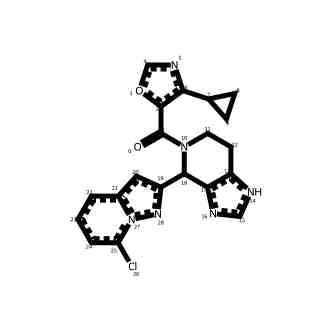 O=C(c1ocnc1C1CC1)N1CCc2[nH]cnc2C1c1cc2cccc(Cl)n2n1